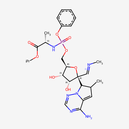 C/N=C/[C@@]1(C2C(C)C=C3C(N)=NC=NN32)O[C@H](COP(=O)(N[C@@H](C)C(=O)OC(C)C)Oc2ccccc2)[C@@H](O)[C@H]1O